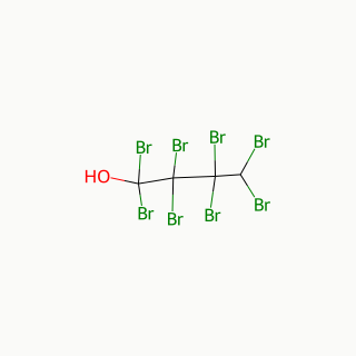 OC(Br)(Br)C(Br)(Br)C(Br)(Br)C(Br)Br